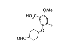 COc1cc(F)c(OC2CCC(C=O)CC2)cc1C(=O)O